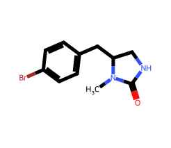 CN1C(=O)NCC1Cc1ccc(Br)cc1